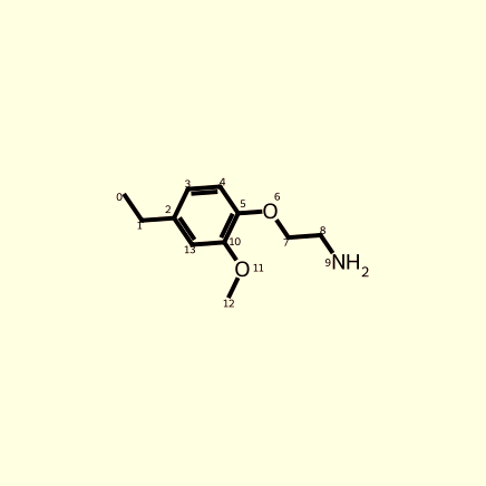 CCc1ccc(OCCN)c(OC)c1